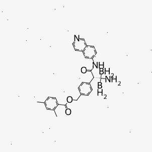 BC(B)(N)[C@@H](C(=O)Nc1ccc2cnccc2c1)c1ccc(COC(=O)c2ccc(C)cc2C)cc1